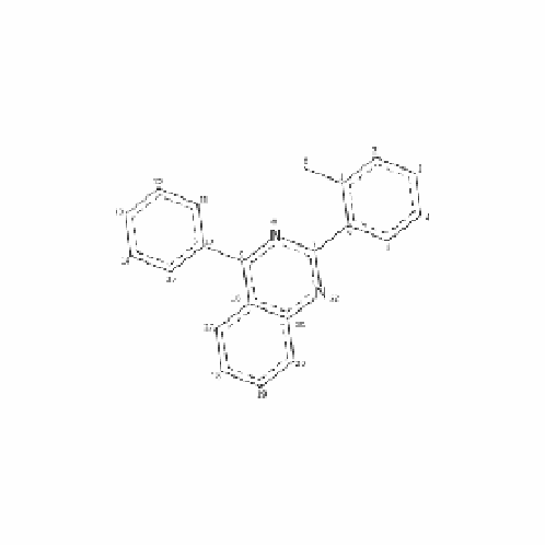 Cc1ccccc1-c1nc(-c2ccccc2)c2ccccc2n1